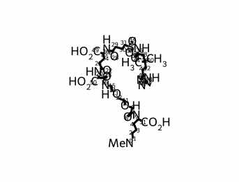 CNCCCCC(NC(=O)COCCOCCNC(=O)C(NC(=O)CCC(NC(=O)CCCS(=O)(=O)NC(=O)CC(C)(C)CCc1nnn[nH]1)C(=O)O)C(=O)O)C(=O)O